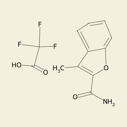 Cc1c(C(N)=O)oc2ccccc12.O=C(O)C(F)(F)F